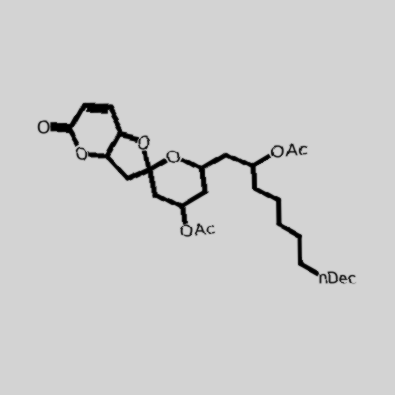 CCCCCCCCCCCCCCCC(CC1CC(OC(C)=O)CC2(CC3OC(=O)C=CC3O2)O1)OC(C)=O